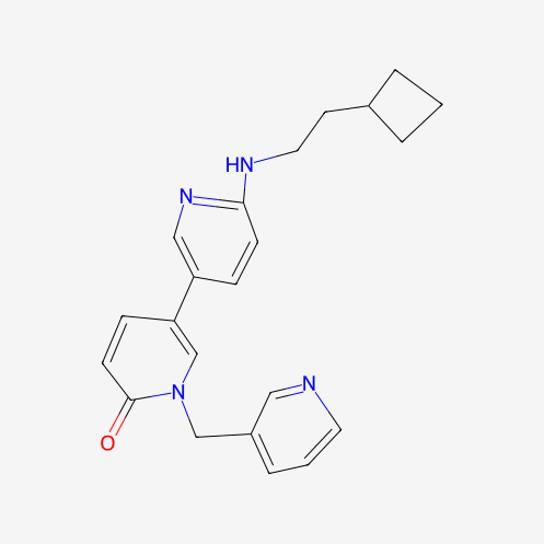 O=c1ccc(-c2ccc(NCCC3CCC3)nc2)cn1Cc1cccnc1